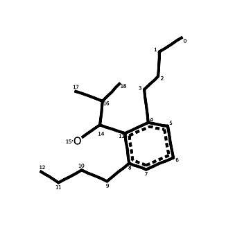 CCCCc1cccc(CCCC)c1C([O])C(C)C